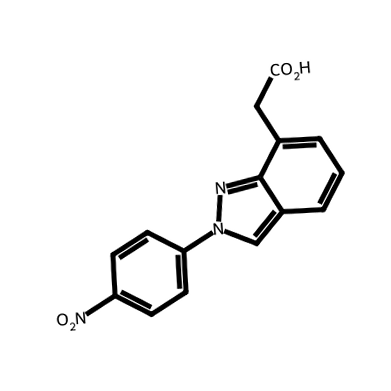 O=C(O)Cc1cccc2cn(-c3ccc([N+](=O)[O-])cc3)nc12